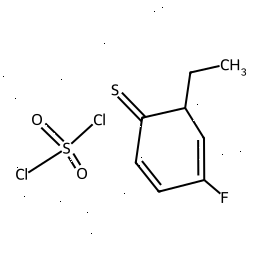 CCC1C=C(F)C=CC1=S.O=S(=O)(Cl)Cl